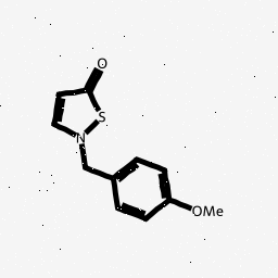 COc1ccc(Cn2ccc(=O)s2)cc1